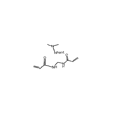 C=CC(=O)NCNC(=O)C=C.CCCCCN(C)C